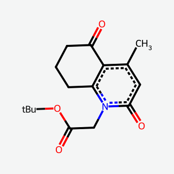 Cc1cc(=O)n(CC(=O)OC(C)(C)C)c2c1C(=O)CCC2